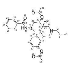 C=CCN1CC[C@@]2(c3cccc(OC(C)=O)c3)C[C@H](NC(=O)c3ccccc3)CC(OC(C)=O)[C@@H]2C1